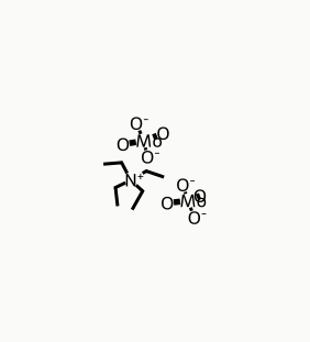 CC[N+](CC)(CC)CC.[O]=[Mo](=[O])([O-])[O-].[O]=[Mo](=[O])([O-])[O-]